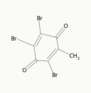 CC1=C(Br)C(=O)C(Br)=C(Br)C1=O